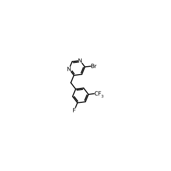 Fc1cc(Cc2cc(Br)ncn2)cc(C(F)(F)F)c1